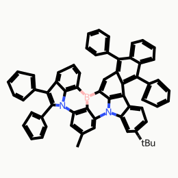 Cc1cc2c3c(c1)-n1c4cc(C(C)(C)C)ccc4c4c5c(-c6ccccc6)c6ccccc6c(-c6ccccc6)c5cc(c41)B3c1cccc3c(-c4ccccc4)c(-c4ccccc4)n-2c13